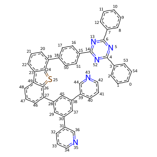 c1ccc(-c2nc(-c3ccccc3)nc(-c3ccc(-c4cccc5c4sc4c(-c6cc(-c7cccnc7)cc(-c7cccnc7)c6)cccc45)cc3)n2)cc1